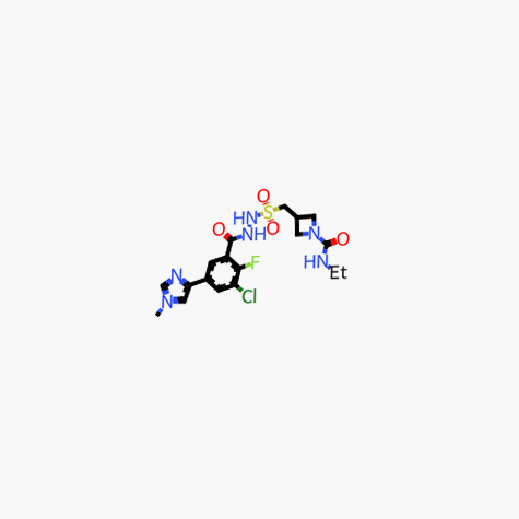 CCNC(=O)N1CC(CS(=O)(=O)NNC(=O)c2cc(-c3cn(C)cn3)cc(Cl)c2F)C1